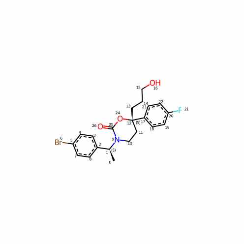 C[C@@H](c1ccc(Br)cc1)N1CC[C@@](CCCO)(c2ccc(F)cc2)OC1=O